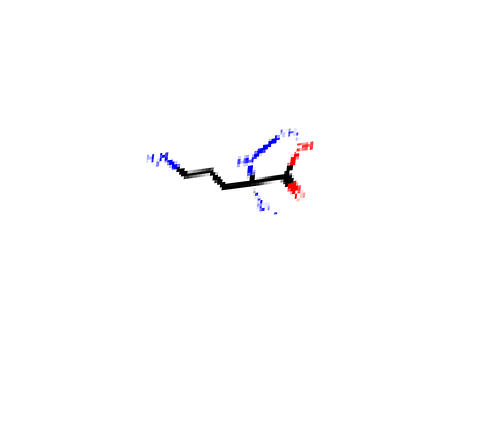 NCCC[C@@](N)(NN)C(=O)O